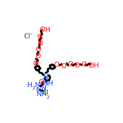 Nc1nc(N)c(C(=O)NC2CCC[N+](CCCc3ccc(OCCOCCOCCOCCOCCO)cc3)(CCCc3ccc(OCCOCCOCCOCCOCCO)cc3)C2)nc1Cl.[Cl-]